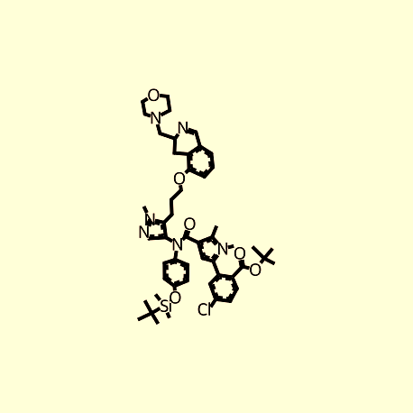 Cc1c(C(=O)N(c2ccc(O[Si](C)(C)C(C)(C)C)cc2)c2cnn(C)c2CCCOc2cccc3c2CC(CN2CCOCC2)N=C3)cc(-c2cc(Cl)ccc2C(=O)OC(C)(C)C)n1C